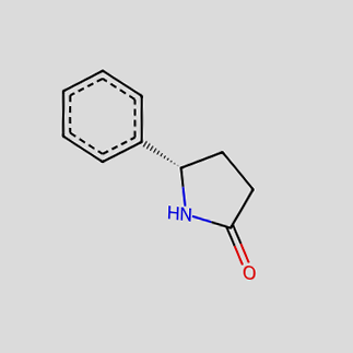 O=C1CC[C@@H](c2ccccc2)N1